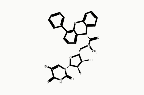 CCc1cn([C@@H]2O[C@H](CN(C)C(=O)[C@H]3c4ccccc4Oc4c(-c5ccccc5)cccc43)[C@@H](O)[C@H]2F)c(=O)[nH]c1=O